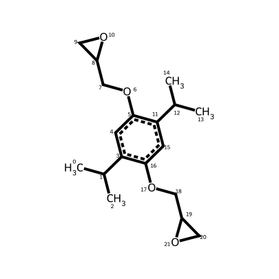 CC(C)c1cc(OCC2CO2)c(C(C)C)cc1OCC1CO1